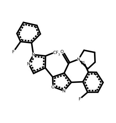 O=C(c1c(-c2c(F)cccc2Cl)noc1-c1cnn(-c2ccccc2F)c1C(F)(F)F)N1CCCC1